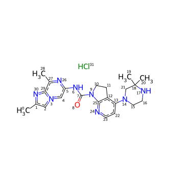 Cc1cn2cc(NC(=O)N3CCc4c(N5CCNC(C)(C)C5)ccnc43)nc(C)c2n1.Cl